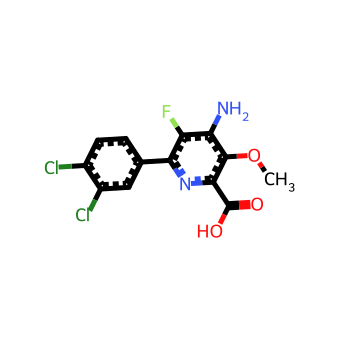 COc1c(C(=O)O)nc(-c2ccc(Cl)c(Cl)c2)c(F)c1N